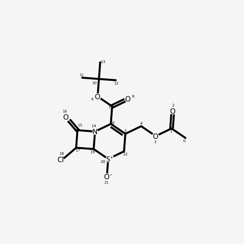 CC(=O)OCC1=C(C(=O)OC(C)(C)C)N2C(=O)C(Cl)C2[S+]([O-])C1